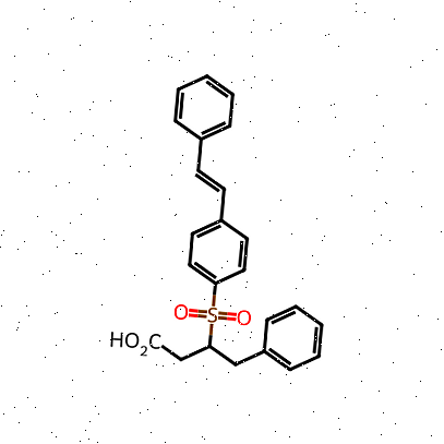 O=C(O)CC(Cc1ccccc1)S(=O)(=O)c1ccc(/C=C/c2ccccc2)cc1